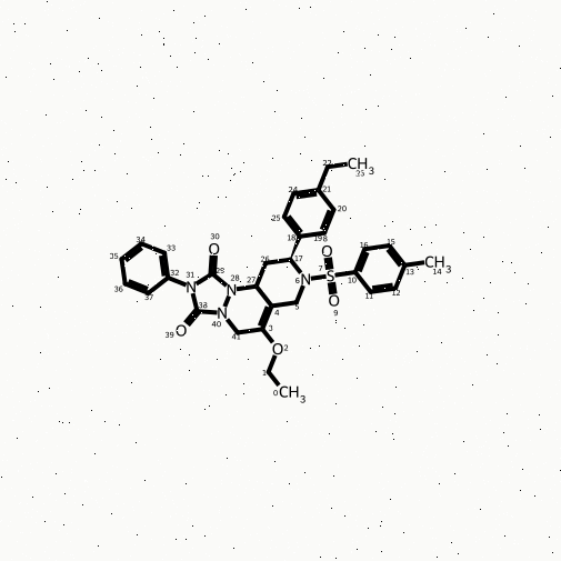 CCOC1=C2CN(S(=O)(=O)c3ccc(C)cc3)[C@H](c3ccc(CC)cc3)CC2n2c(=O)n(-c3ccccc3)c(=O)n2C1